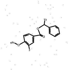 CCCOc1ccc(C(=O)OC(CC)c2ccccc2)cc1F